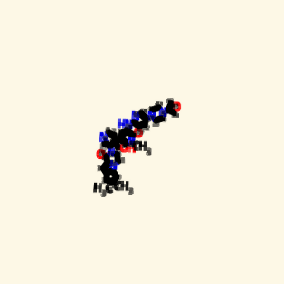 Cn1cc(C2(CO)C=CN=CC2N2CCn3c(cc4c3CC(C)(C)C4)C2=O)cc(Nc2ccc(N3CCN(C4COC4)CC3)cn2)c1=O